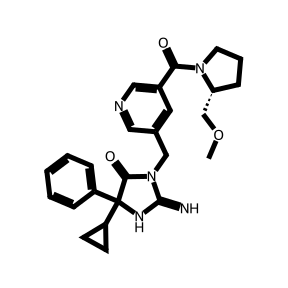 COC[C@H]1CCCN1C(=O)c1cncc(CN2C(=N)NC(c3ccccc3)(C3CC3)C2=O)c1